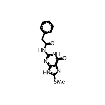 CSc1nc2c(=O)[nH]c(NC(=O)Cc3ccccc3)nc2[nH]1